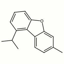 Cc1ccc2c(c1)oc1cccc(C(C)C)c12